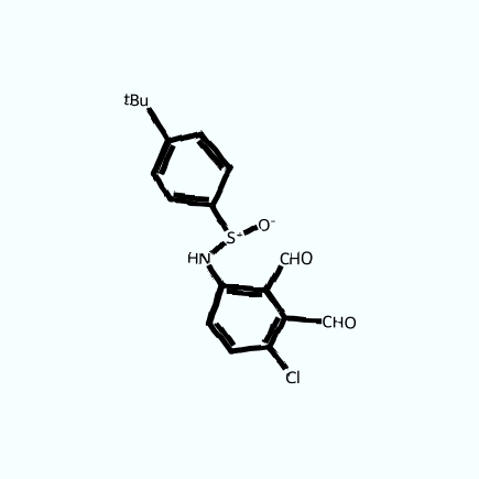 CC(C)(C)c1ccc([S+]([O-])Nc2ccc(Cl)c(C=O)c2C=O)cc1